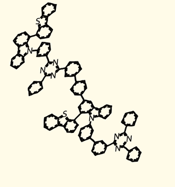 c1ccc(-c2nc(-c3ccccc3)nc(-c3cccc(-c4cccc(-n5c6ccccc6c6cc(-c7ccc(-c8cccc(-c9nc(-c%10ccccc%10)nc(-c%10cccc(-n%11c%12ccccc%12c%12cccc(-c%13cccc%14c%13sc%13ccccc%13%14)c%12%11)c%10)n9)c8)cc7)cc(-c7cccc8c7sc7ccccc78)c65)c4)c3)n2)cc1